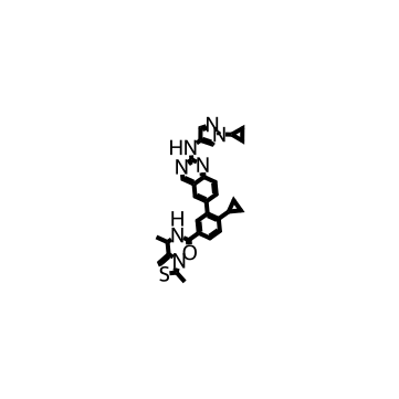 Cc1nc(C(C)NC(=O)c2ccc(C3CC3)c(-c3ccc4nc(Nc5cnn(C6CC6)c5)ncc4c3)c2)cs1